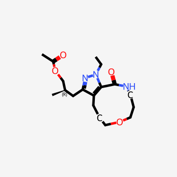 CCn1nc(C[C@@H](C)COC(C)=O)c2c1C(=O)NCCCOCCC2